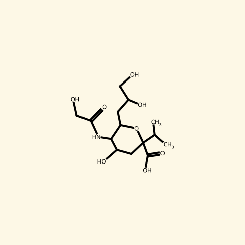 CC(C)C1(C(=O)O)CC(O)C(NC(=O)CO)C(CC(O)CO)O1